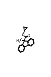 CC1(C(=O)OC2CC2)c2ccccc2-c2ccccc21